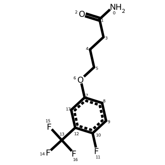 NC(=O)CCCOc1ccc(F)c(C(F)(F)F)c1